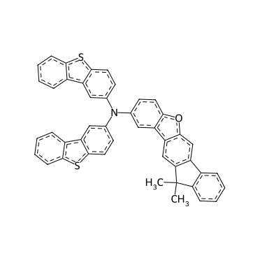 CC1(C)c2ccccc2-c2cc3oc4ccc(N(c5ccc6sc7ccccc7c6c5)c5ccc6sc7ccccc7c6c5)cc4c3cc21